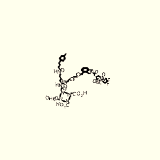 Cc1ccc(CCCC(=O)NCCCCC(NC(=O)CN2CCN(COC=O)CCN(CC(=O)O)CCN(CC(=O)O)CC2)C(=O)NCCOCCOCc2cccc3c2CN(C(=O)C[C@@H]2C[C@@H](C(=O)N4CC(F)(F)C[C@H]4C#N)NC2=O)C3)cc1